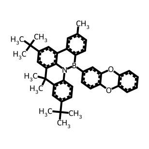 Cc1ccc2c(c1)-c1cc(C(C)(C)C)cc3c1N(B2c1ccc2c(c1)Oc1ccccc1O2)c1ccc(C(C)(C)C)cc1C3(C)C